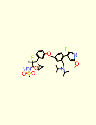 COc1cc(-c2ccc(COc3cccc([C@H](C4CC4)[C@@](C)(F)C(=O)NS(C)(=O)=O)c3)cc2CN(C(C)C)C(C)C)c(F)cn1